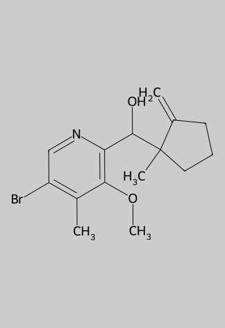 C=C1CCCC1(C)C(O)c1ncc(Br)c(C)c1OC